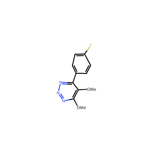 COc1nnnc(-c2ccc(F)cc2)c1OC